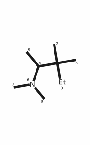 CCC(C)(C)C(C)N(C)C